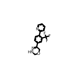 FC(F)(F)c1cc(C2=NNCOC2)ccc1-c1ccccn1